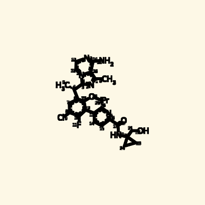 Cc1nc([C@@H](C)c2cc(Cl)c(F)c(-c3ccc(C(=O)NC4(CO)CC4)nc3)c2OC(C)C)n2ccnc(N)c12